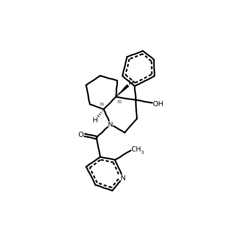 Cc1ncccc1C(=O)N1CCC(O)(c2ccccc2)[C@H]2CCCC[C@@H]21